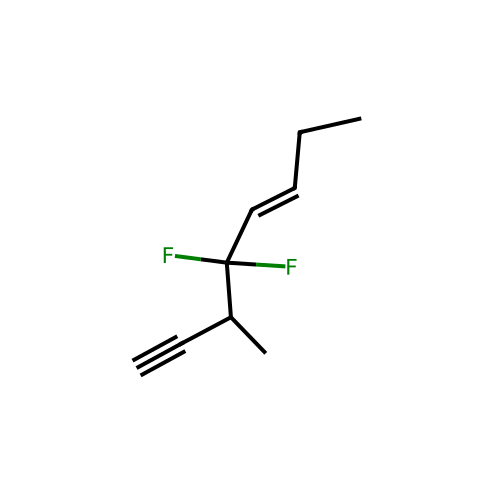 C#CC(C)C(F)(F)/C=C/CC